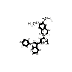 COc1cc2c(cc1OC)CN(C(=O)C=Cc1cn(-c3ccccc3)c3ncccc13)CC2.Cl